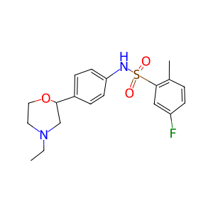 CCN1CCOC(c2ccc(NS(=O)(=O)c3cc(F)ccc3C)cc2)C1